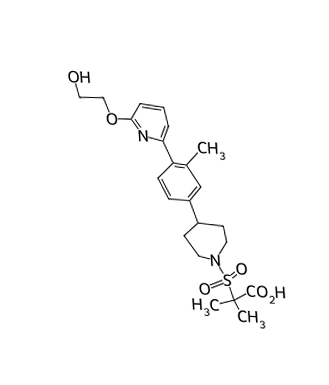 Cc1cc(C2CCN(S(=O)(=O)C(C)(C)C(=O)O)CC2)ccc1-c1cccc(OCCO)n1